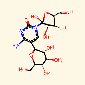 Nc1nc(=O)n([C@]2(O)O[C@H](CO)[C@@H](O)[C@H]2O)cc1C1O[C@H](CO)[C@@H](O)[C@H](O)[C@H]1O